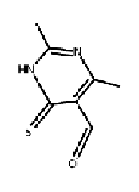 Cc1nc(C)c(C=O)c(=S)[nH]1